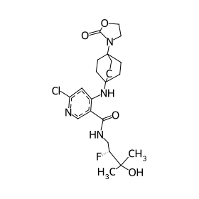 CC(C)(O)[C@H](F)CNC(=O)c1cnc(Cl)cc1NC12CCC(N3CCOC3=O)(CC1)CC2